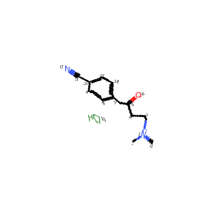 CN(C)CCC(=O)c1ccc(C#N)cc1.Cl